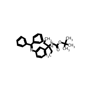 CCC(CC)(NC(=O)OC(C)(C)C)c1cccc(N=C(c2ccccc2)c2ccccc2)c1